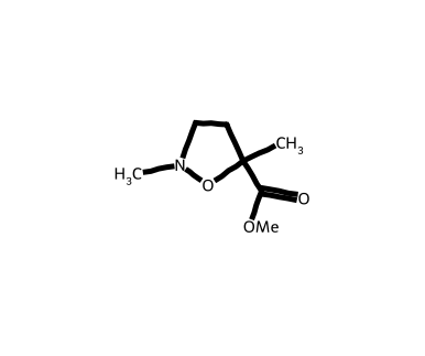 COC(=O)C1(C)CCN(C)O1